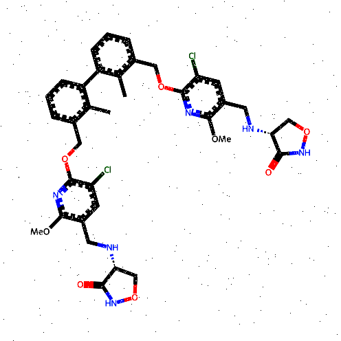 COc1nc(OCc2cccc(-c3cccc(COc4nc(OC)c(CN[C@@H]5CONC5=O)cc4Cl)c3C)c2C)c(Cl)cc1CN[C@@H]1CONC1=O